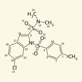 Cc1ccc(S(=O)(=O)n2c(S(=O)(=O)N(C)C)cc3ccc(Cl)cc32)cc1